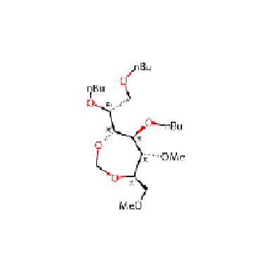 CCCCOC[C@@H](OCCCC)[C@H]1OCO[C@H](COC)[C@@H](OC)[C@@H]1OCCCC